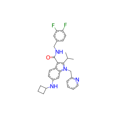 CC(C)c1c(C(=O)NCc2ccc(F)c(F)c2)c2ccc(NC3CCC3)cc2n1Cc1ccccn1